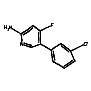 Nc1cc(F)c(-c2cccc(Cl)c2)cn1